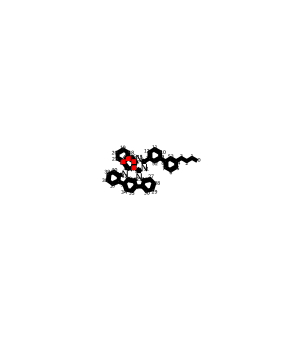 CCCCc1cccc(-c2cccc(-c3nc(-c4ccccc4)nc(-n4c5ccccc5c5ccc6c7ccccc7n(-c7ccccc7)c6c54)n3)c2)c1